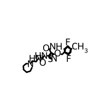 Cc1cc(F)c(COc2nsc(NC(=O)NCCN3CCCCCC3)c2C(N)=O)cc1F